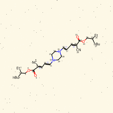 CCCCC(CC)COC(=O)/C(C#N)=C/C=C/N1CCN(/C=C/C=C(\C#N)C(=O)OCC(CC)CCCC)CC1